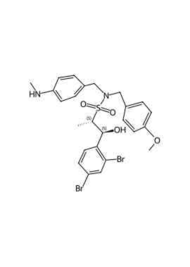 CNc1ccc(CN(Cc2ccc(OC)cc2)S(=O)(=O)[C@@H](C)[C@@H](O)c2ccc(Br)cc2Br)cc1